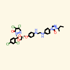 CCC(C)n1ncn(-c2ccc(NCCNc3ccc(OC[C@@H]4CO[C@@](Cn5ncc(Cl)c(Cl)c5=O)(c5ccc(Cl)cc5Cl)O4)cc3)cc2)c1=O